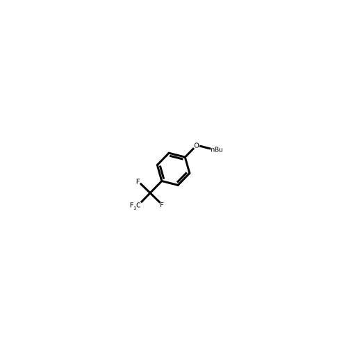 CCCCOc1ccc(C(F)(F)C(F)(F)F)cc1